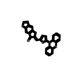 O=C1/C(=C/c2ccc(N3c4ccccc4Sc4ccccc43)s2)Cc2cc3ccsc3cc21